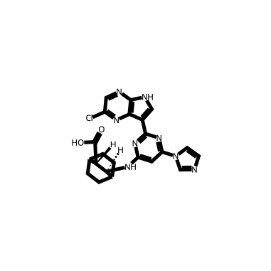 O=C(O)[C@H]1C2CCC(CC2)[C@@H]1Nc1cc(-n2ccnc2)nc(-c2c[nH]c3ncc(Cl)nc23)n1